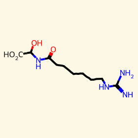 N=C(N)NCCCCCCC(=O)NC(O)C(=O)O